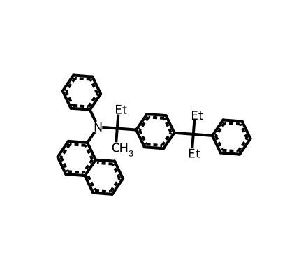 CCC(CC)(c1ccccc1)c1ccc(C(C)(CC)N(c2ccccc2)c2cccc3ccccc23)cc1